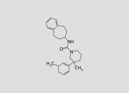 CC1C=C(C2(C)CCCN(C(=O)NC3CCc4ccccc4CC3)C2)C=CC1